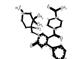 CC(=O)N1CCN(C(=O)c2cn(CC3(O)CCN(C)CC3(C)C)c(=O)cc2-c2ccccc2)CC1